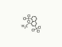 [CH2]Cc1cc(C(Cl)(Cl)Cl)cc2cccc(C(Cl)(Cl)Cl)c12